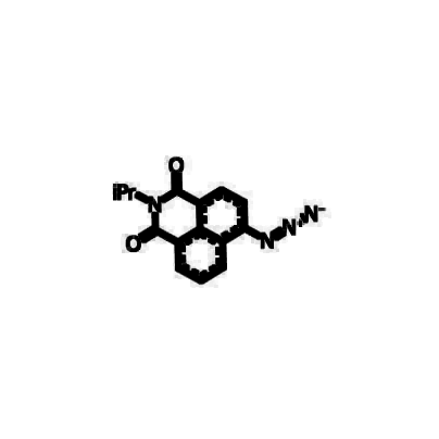 CC(C)N1C(=O)c2cccc3c(N=[N+]=[N-])ccc(c23)C1=O